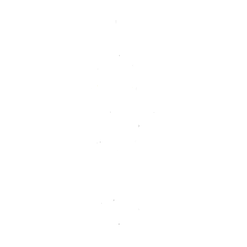 CC(C)(C)C1CSC(c2ccc(C#C[Si](C)(C)C)cc2F)SC1